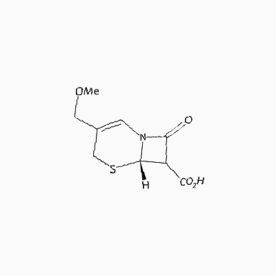 COCC1=CN2C(=O)C(C(=O)O)[C@@H]2SC1